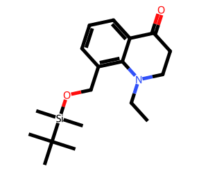 CCN1CCC(=O)c2cccc(CO[Si](C)(C)C(C)(C)C)c21